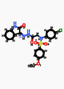 CCCCOc1ccc(S(=O)(=O)N(CC(=O)N/N=C2\C(=O)Nc3ccccc32)c2ccc(Cl)cc2)cc1